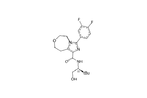 CC(C)(C)[C@@H](CO)NC(=O)c1nc(-c2ccc(F)c(F)c2)n2c1CCOCC2